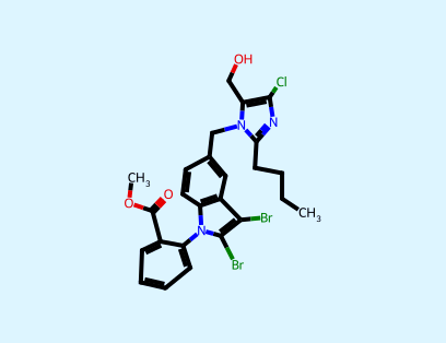 CCCCc1nc(Cl)c(CO)n1Cc1ccc2c(c1)c(Br)c(Br)n2-c1ccccc1C(=O)OC